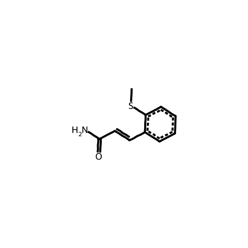 CSc1ccccc1C=CC(N)=O